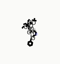 CCOC(CC)(OCC)C(CS(=O)(=O)N[C@H](C)/C=C\COCc1ccccc1)OC(=O)OC(C)(C)C